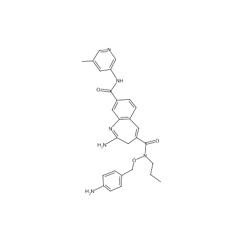 CCCN(OCc1ccc(N)cc1)C(=O)C1=Cc2ccc(C(=O)Nc3cncc(C)c3)cc2N=C(N)C1